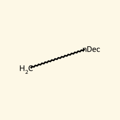 C=CCCCCCCCCCCCCCCCCCCCCCCCCCCCCCCCCCCCCCCCCC